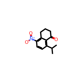 CC(C)c1ccc([N+](=O)[O-])c2c1C(=O)CCC2